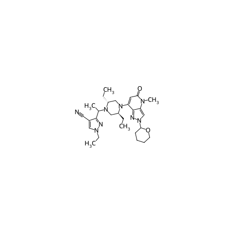 CC[C@H]1CN(C(C)c2nn(CC)cc2C#N)[C@H](CC)CN1c1cc(=O)n(C)c2cn(C3CCCCO3)nc12